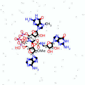 CO[C@@H]1[C@H](OS(=O)(=O)NC[C@H]2O[C@@H](n3cnc4c(=O)[nH]c(N)nc43)[C@H](O)[C@@H]2O)[C@@H](COP(=O)(O)OP(=O)(O)OP(=O)(O)OC[C@H]2O[C@@H](n3c[n+](C)c4c(=O)[nH]c(N)nc43)[C@H](O)[C@@H]2CC(=O)N(C)C)O[C@H]1n1cnc2c(N)ncnc21